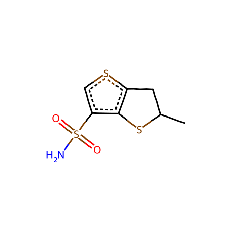 CC1Cc2scc(S(N)(=O)=O)c2S1